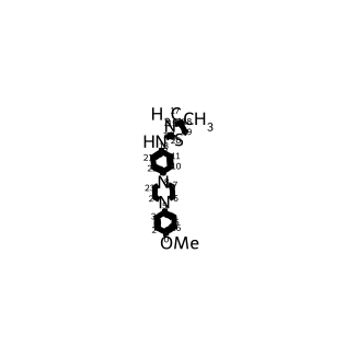 COc1ccc(N2CCN(c3ccc(NC4=NC(C)(C)CS4)cc3)CC2)cc1